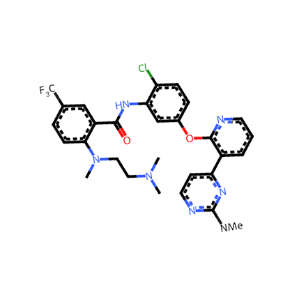 CNc1nccc(-c2cccnc2Oc2ccc(Cl)c(NC(=O)c3cc(C(F)(F)F)ccc3N(C)CCN(C)C)c2)n1